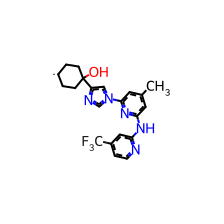 Cc1cc(Nc2cc(C(F)(F)F)ccn2)nc(-n2cnc(C3(O)CC[CH]CC3)c2)c1